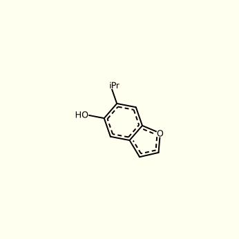 CC(C)c1cc2occc2cc1O